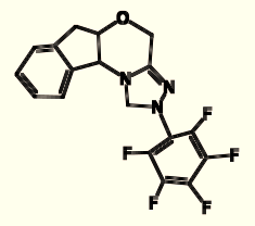 Fc1c(F)c(F)c(N2CN3C(=N2)COC2Cc4ccccc4C23)c(F)c1F